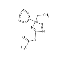 CC[N+]1(c2ccccc2)N=NC(OC(C)=O)=N1